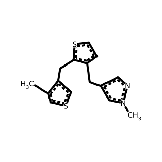 Cc1cscc1Cc1sccc1Cc1cnn(C)c1